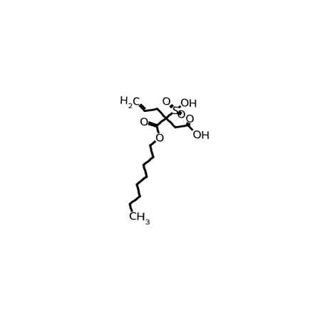 C=CCC(CC(=O)O)(C(=O)OCCCCCCCC)S(=O)(=O)O